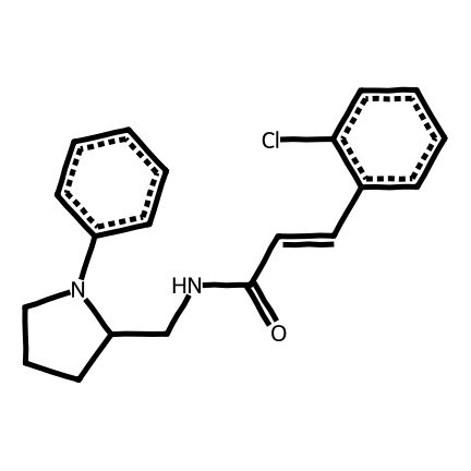 O=C(/C=C/c1ccccc1Cl)NCC1CCCN1c1ccccc1